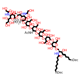 CCCCCCCCCCCCC/C=C/[C@@H](O)[C@H](CO[C@@H]1OC(CO)[C@@H](O[C@@H]2OC(CO)[C@H](O[C@@H]3OC(CO)[C@H](O)[C@H](O[C@@H]4OC(CO)[C@H](O)[C@H](O[C@@H]5OC(CO)[C@H](O)[C@H](O[C@]6(C(=O)O)CC(O)[C@@H](NC(=O)CO)C([C@H](O)[C@@H](CO)O[C@]7(C(=O)O)CC(O)[C@@H](NC(=O)CO)C([C@H](O)[C@H](O)CO)O7)O6)C5O)C4NC(C)=O)C3O)[C@H](O)C2O)[C@H](O)C1O)NC(=O)CCCCCCCCCCCCCCCCC